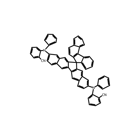 N#Cc1ccccc1N(c1ccccc1)c1ccc2cc3c(cc2c1)C1(c2cc4cc(N(c5ccccc5)c5ccccc5C#N)ccc4cc2-3)c2ccccc2-c2c1ccc1ccccc21